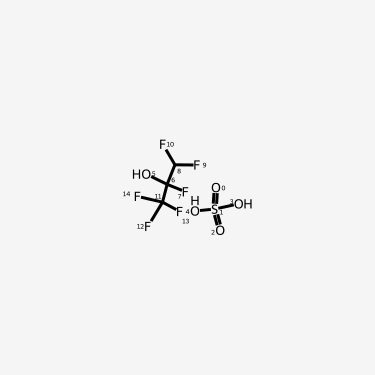 O=S(=O)(O)O.OC(F)(C(F)F)C(F)(F)F